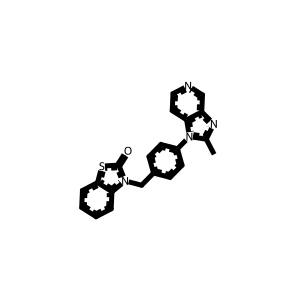 Cc1nc2cnccc2n1-c1ccc(Cn2c(=O)sc3ccccc32)cc1